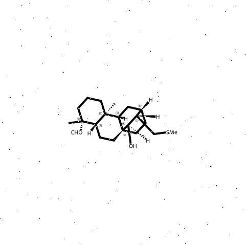 CSC[C@H]1[C@H]2CC[C@@]3(CC[C@H]4[C@@](C)(CCC[C@@]4(C)C=O)[C@@H]3C2)[C@@H]1O